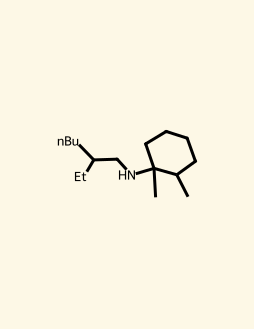 CCCCC(CC)CNC1(C)CCCCC1C